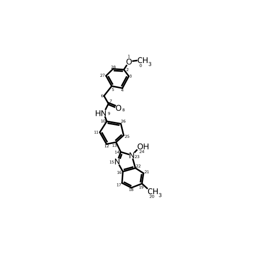 COc1ccc(CC(=O)Nc2ccc(-c3nc4ccc(C)cc4n3O)cc2)cc1